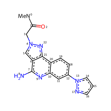 CNC(=O)Cn1cc2c(N)nc3cc(-n4cccn4)ccc3c2n1